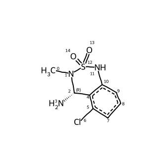 CN1[C@@H](N)c2c(Cl)cccc2NS1(=O)=O